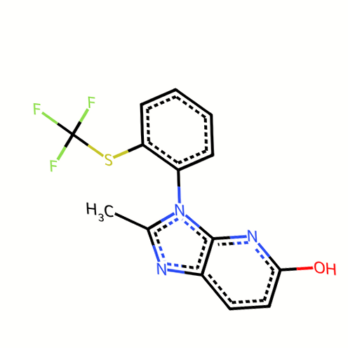 Cc1nc2ccc(O)nc2n1-c1ccccc1SC(F)(F)F